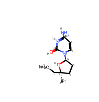 COC[C@]1(C(C)C)CC[C@H](n2ccc(N)nc2=O)O1